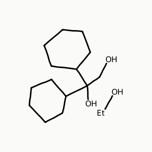 CCO.OCC(O)(C1CCCCC1)C1CCCCC1